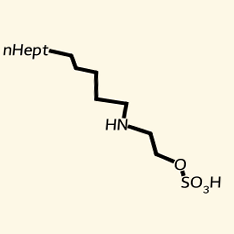 CCCCCCCCCCCCNCCOS(=O)(=O)O